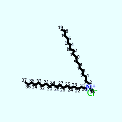 C=[N+](CCCCCCCCCCCCCCCCCC)CCCCCCCCCCCCCCCCCC.[Cl-]